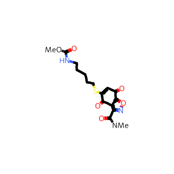 CNC(=O)c1noc2c1C(=O)C(SCCCCCNC(=O)OC)=CC2=O